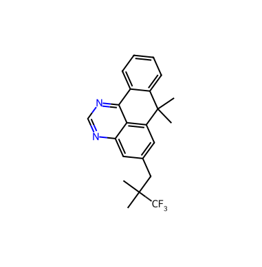 CC1(C)c2ccccc2-c2ncnc3cc(CC(C)(C)C(F)(F)F)cc1c23